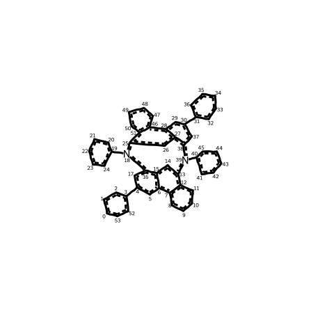 c1ccc(-c2cc3c4ccccc4c4cc3c(c2)n(-c2ccccc2)c2cc3c(cc(-c5ccccc5)cc3n4-c3ccccc3)c3ccccc32)cc1